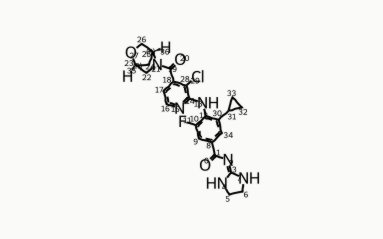 O=C(N=C1NCCN1)c1cc(F)c(Nc2nccc(C(=O)N3C[C@H]4C[C@@H]3CO4)c2Cl)c(C2CC2)c1